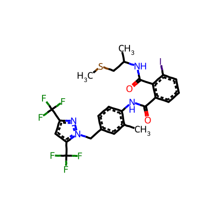 CSCC(C)NC(=O)c1c(I)cccc1C(=O)Nc1ccc(Cn2nc(C(F)(F)F)cc2C(F)(F)F)cc1C